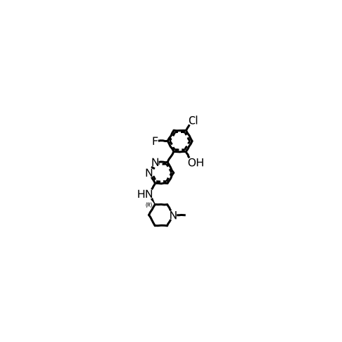 CN1CCC[C@@H](Nc2ccc(-c3c(O)cc(Cl)cc3F)nn2)C1